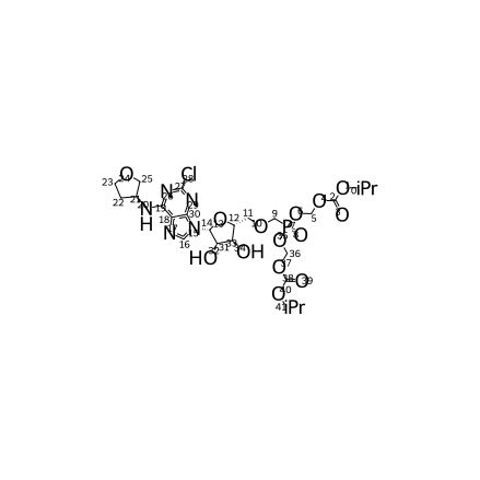 CC(C)OC(=O)OCOP(=O)(COC[C@H]1O[C@@H](n2cnc3c(N[C@H]4CCOC4)nc(Cl)nc32)[C@H](O)[C@@H]1O)OCOC(=O)OC(C)C